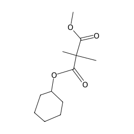 COC(=O)C(C)(C)C(=O)OC1CCCCC1